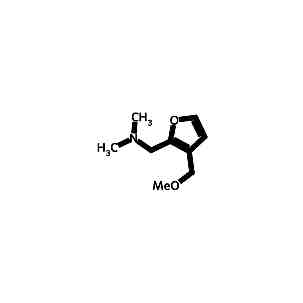 COCc1ccoc1CN(C)C